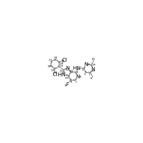 Cc1cc(Nc2ncc(F)c3[nH]c(-c4c(Cl)cccc4Cl)nc23)nc(C)n1